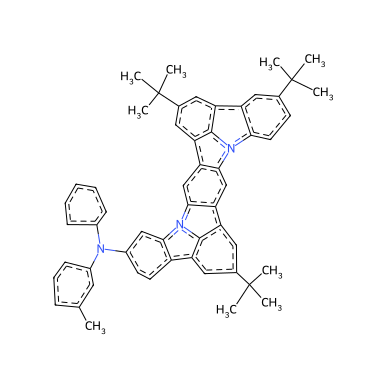 Cc1cccc(N(c2ccccc2)c2ccc3c4cc(C(C)(C)C)cc5c6cc7c(cc6n(c3c2)c45)c2cc(C(C)(C)C)cc3c4cc(C(C)(C)C)ccc4n7c32)c1